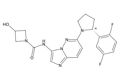 O=C(Nc1cnc2ccc(N3CCC[C@@H]3c3cc(F)ccc3F)nn12)N1CC(O)C1